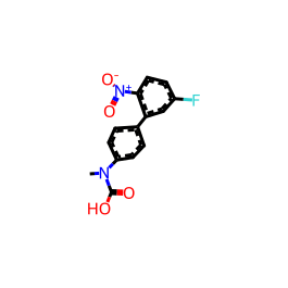 CN(C(=O)O)c1ccc(-c2cc(F)ccc2[N+](=O)[O-])cc1